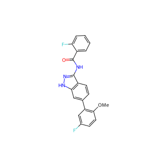 COc1ccc(F)cc1-c1ccc2c(NC(=O)c3ccccc3F)n[nH]c2c1